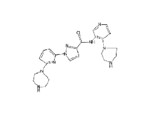 O=C(Nc1cnccc1N1CCNCC1)c1ccn(-c2cccc(N3CCNCC3)n2)n1